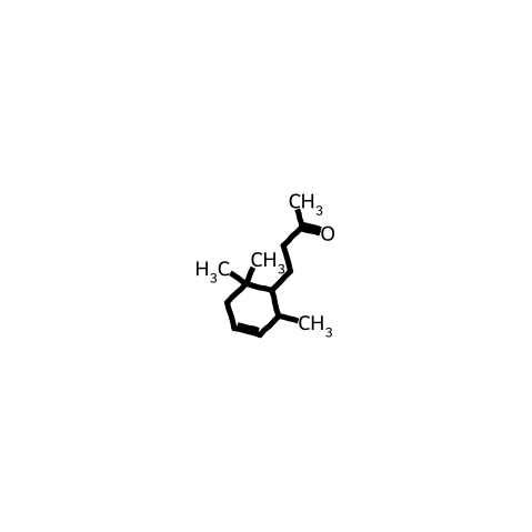 CC(=O)CCC1C(C)C=CCC1(C)C